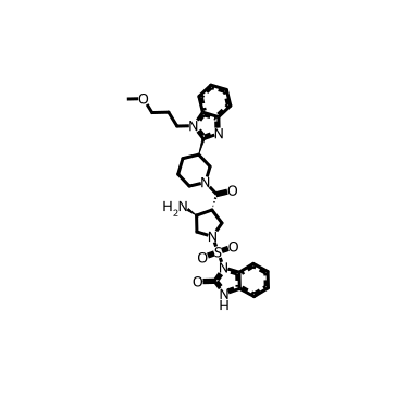 COCCCn1c([C@@H]2CCCN(C(=O)[C@@H]3CN(S(=O)(=O)n4c(=O)[nH]c5ccccc54)C[C@H]3N)C2)nc2ccccc21